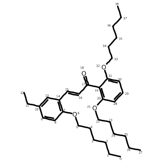 CCCCCCOc1ccc(CC)cc1C=CC(=O)c1c(OCCCCCC)cccc1OCCCCCC